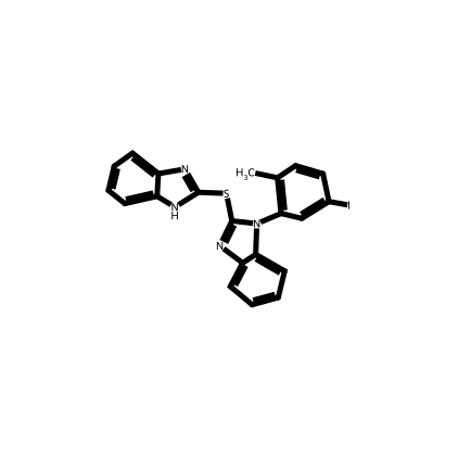 Cc1ccc(I)cc1-n1c(Sc2nc3ccccc3[nH]2)nc2ccccc21